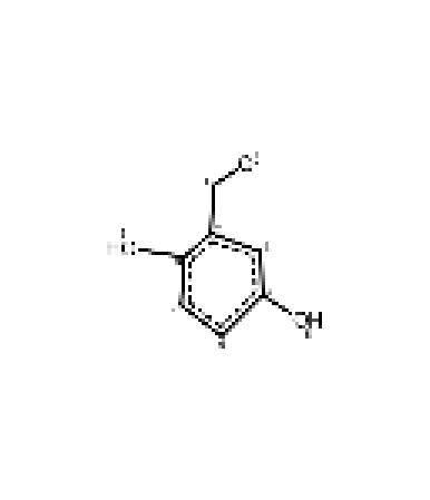 [O]Cc1cc(O)ccc1O